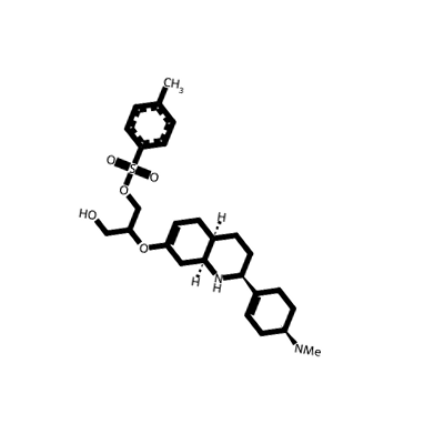 CN[C@H]1CC=C([C@@H]2CC[C@@H]3CC=C(OC(CO)COS(=O)(=O)c4ccc(C)cc4)C[C@@H]3N2)CC1